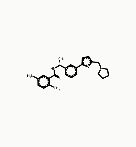 Cc1ccc(N)cc1C(=O)N[C@H](C)c1cccc(-c2ccc(CN3CCCC3)s2)c1